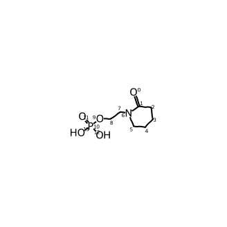 O=C1CCCCN1CCOP(=O)(O)O